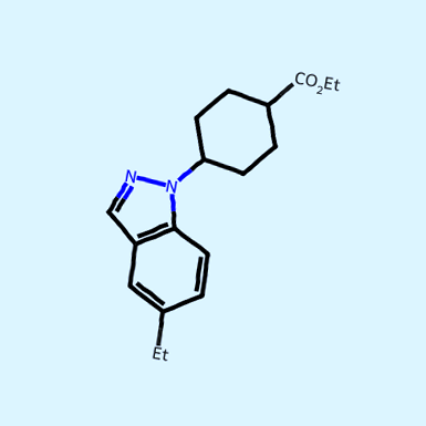 CCOC(=O)C1CCC(n2ncc3cc(CC)ccc32)CC1